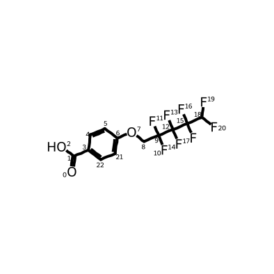 O=C(O)c1ccc(OCC(F)(F)C(F)(F)C(F)(F)C(F)F)cc1